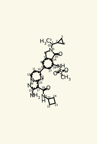 C[C@@H](C1CC1)N1Cc2cc(-c3ccn4nc(N)c(C(=O)NC5CCC5)c4n3)cc(NS(C)(=O)=O)c2C1=O